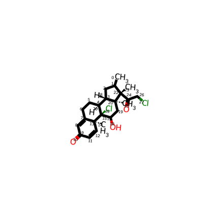 CC1C[C@H]2[C@@H]3CCC4=CC(=O)C=C[C@]4(C)[C@@]3(Cl)C(O)C[C@]2(C)[C@@]1(C)C(=O)CCl